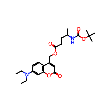 CCN(CC)c1ccc2c(COC(=O)CCC(C)NC(=O)OC(C)(C)C)cc(=O)oc2c1